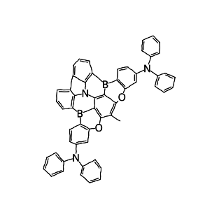 Cc1c2c3c4c5c1Oc1cc(N(c6ccccc6)c6ccccc6)ccc1B5c1cccc5c6cccc(c6n-4c15)B3c1ccc(N(c3ccccc3)c3ccccc3)cc1O2